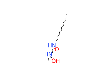 CCCCCCCCCCCCCCNC(=O)CCNC(CC)CO